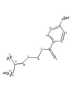 COc1ccc(C(=O)CCCCC(N)C(=O)O)cc1